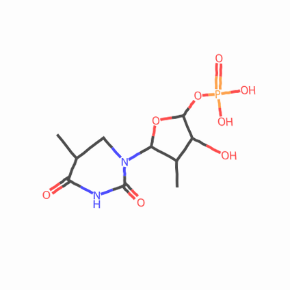 CC1CN(C2OC(OP(=O)(O)O)C(O)C2C)C(=O)NC1=O